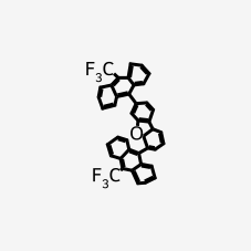 FC(F)(F)c1c2ccccc2c(C2=CC=CC3c4ccc(-c5c6ccccc6c(C(F)(F)F)c6ccccc56)cc4OC23)c2ccccc12